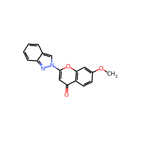 COc1ccc2c(=O)cc(-n3cc4ccccc4n3)oc2c1